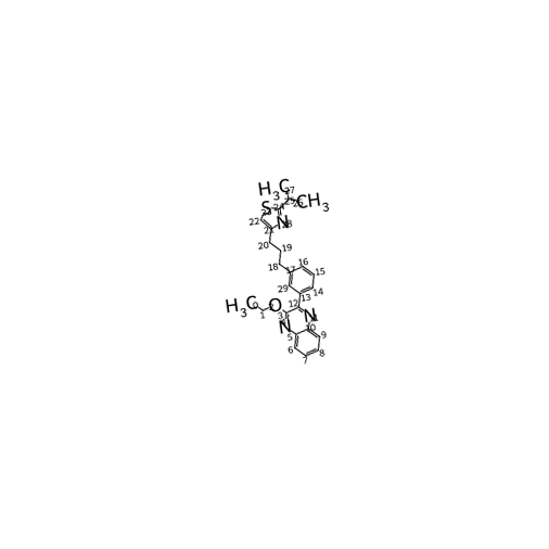 CCOc1nc2ccccc2nc1-c1cccc(CCCc2csc(C(C)C)n2)c1